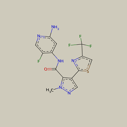 Cn1ncc(-c2nc(C(F)(F)F)cs2)c1C(=O)Nc1cc(N)ncc1F